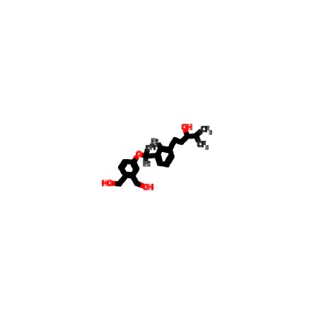 CCCC(CC)(Oc1ccc(CO)c(CO)c1)c1cccc(CCC(O)C(C(F)(F)F)C(F)(F)F)c1CC